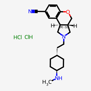 CN[C@H]1CC[C@H](CCN2C[C@H]3COc4ccc(C#N)cc4[C@@H]3C2)CC1.Cl.Cl